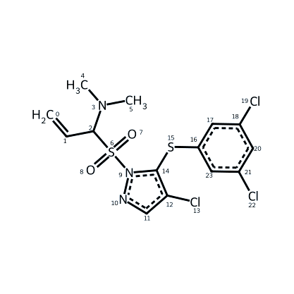 C=CC(N(C)C)S(=O)(=O)n1ncc(Cl)c1Sc1cc(Cl)cc(Cl)c1